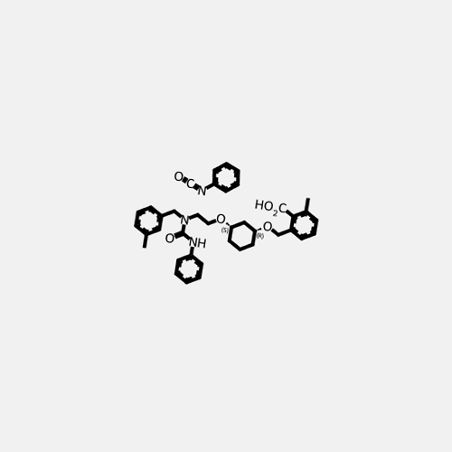 Cc1cccc(CN(CCO[C@H]2CCC[C@@H](OCc3cccc(C)c3C(=O)O)C2)C(=O)Nc2ccccc2)c1.O=C=Nc1ccccc1